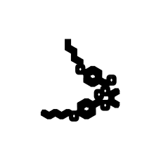 CCCCCOc1ccc(C(=O)OC(C)C(C)OC(=O)c2ccc(OCCCCC)cc2)cc1